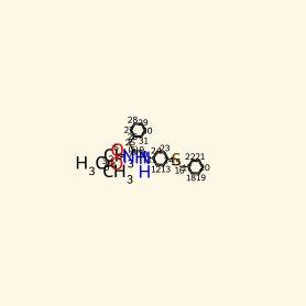 CC(C)(C)OC(=O)N[C@H](CNc1ccc(SCc2ccccc2)cc1)Cc1ccccc1